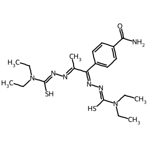 CCN(CC)/C(S)=N/N=C(C)/C(=N/N=C(\S)N(CC)CC)c1ccc(C(N)=O)cc1